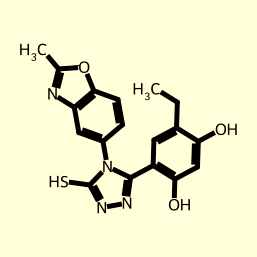 CCc1cc(-c2nnc(S)n2-c2ccc3oc(C)nc3c2)c(O)cc1O